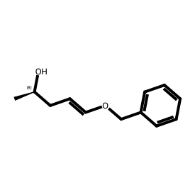 C[C@@H](O)CC=COCc1ccccc1